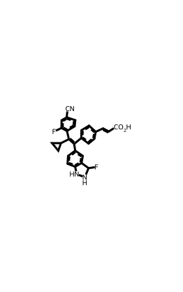 N#Cc1ccc(/C(=C(\c2ccc(/C=C/C(=O)O)cc2)c2ccc3c(c2)C(F)NN3)C2CC2)c(F)c1